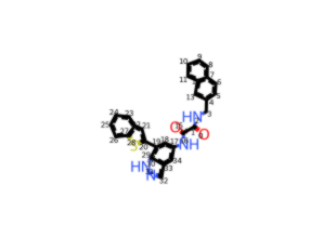 O=C(NCc1ccc2ccccc2c1)C(=O)Nc1cc(-c2cc3ccccc3s2)c2[nH]ncc2c1